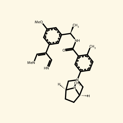 CN/C=C(\C=N)c1cc(OC)cc([C@@H](C)NC(=O)c2cc(N3C[C@H]4CC[C@@H](C3)N4C)ccc2C)c1